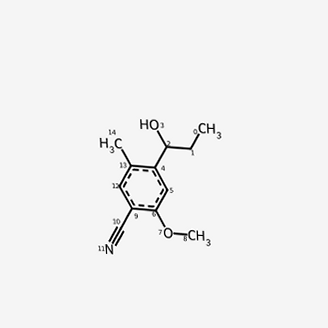 CCC(O)c1cc(OC)c(C#N)cc1C